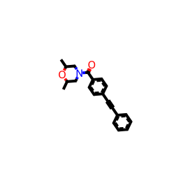 CC1CN(C(=O)c2ccc(C#Cc3ccccc3)cc2)CC(C)O1